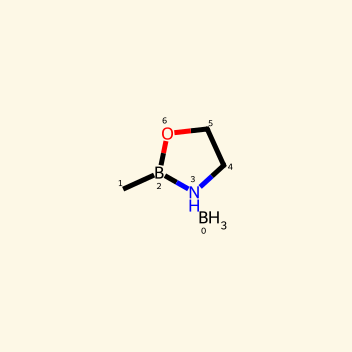 B.CB1NCCO1